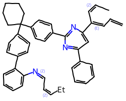 C=C/C=C(\C=C/C)c1cc(-c2ccccc2)nc(-c2ccc(C3(c4ccc(-c5ccccc5/N=C\C=C/CC)cc4)CCCCC3)cc2)n1